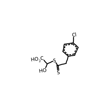 O=C(O)C(O)SC(=S)Cc1ccc(Cl)cc1